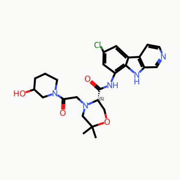 CC1(C)CN(CC(=O)N2CCCC(O)C2)[C@H](C(=O)Nc2cc(Cl)cc3c2[nH]c2cnccc23)CO1